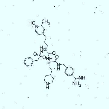 CC1C=C(CCC[C@@H](NS(=O)(=O)Cc2ccccc2)C(=O)N[C@@H](CCC2CCNCC2)C(=O)NCc2ccc(C(=N)N)cc2)C=CN1O